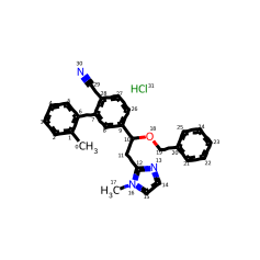 Cc1ccccc1-c1cc(C(Cc2nccn2C)OCc2ccccc2)ccc1C#N.Cl